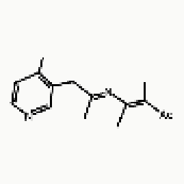 CC(=O)/C(C)=C(C)/N=C(\C)Cc1cnccc1C